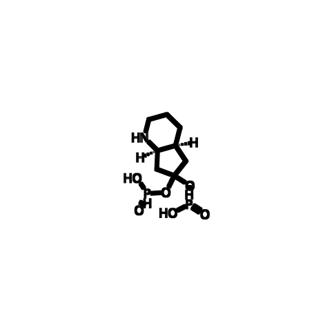 O=[PH](O)OC1(O[PH](=O)O)C[C@@H]2CCCN[C@@H]2C1